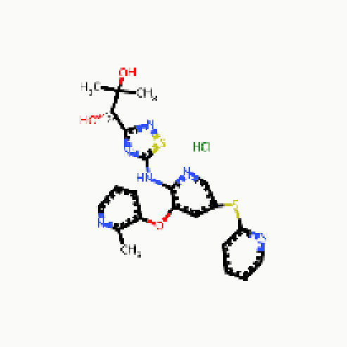 Cc1ncccc1Oc1cc(Sc2ccccn2)cnc1Nc1nc([C@H](O)C(C)(C)O)ns1.Cl